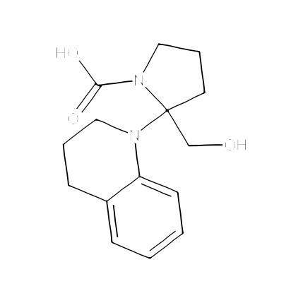 O=C(O)N1CCCC1(CO)N1CCCc2ccccc21